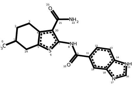 CC1CCc2c(sc(NC(=O)c3ccc4[nH]cnc4c3)c2C(N)=O)C1